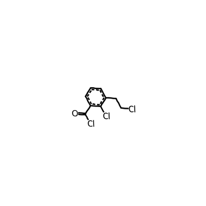 O=C(Cl)c1cccc(CCCl)c1Cl